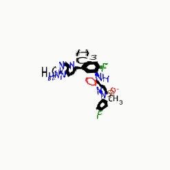 CNc1ncc2nc(-c3cc(NC(=O)c4cc([S+](C)[O-])n(-c5ccc(F)cc5)n4)c(F)cc3C)ccc2n1